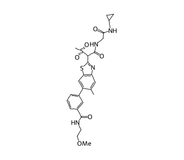 COCCNC(=O)c1cccc(-c2cc3sc(C(C(=O)NCC(=O)NC4CC4)S(C)(=O)=O)nc3cc2C)c1